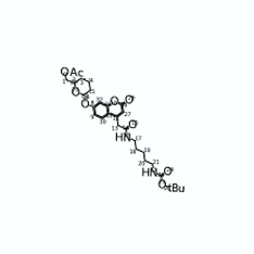 CC(=O)OC[C@H]1[CH][CH][CH][C@H](Oc2ccc3c(CC(=O)NCCCCCNC(=O)OC(C)(C)C)cc(=O)oc3c2)O1